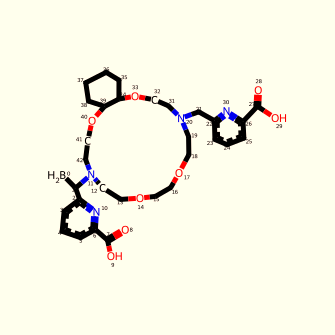 BC(c1cccc(C(=O)O)n1)N1CCOCCOCCN(Cc2cccc(C(=O)O)n2)CCOC2CCCCC2OCC1